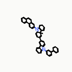 CC12C=C(c3ccc4c(c3)c3ccccc3n4-c3cccc(C4=CC=CCC4)c3)C=CC1N(c1ccc3c(ccc4ccccc43)c1)C1=C2C=CCC1